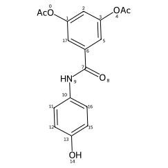 CC(=O)Oc1cc(OC(C)=O)cc(C(=O)Nc2ccc(O)cc2)c1